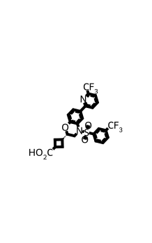 O=C(O)C1CC([C@H]2CN(S(=O)(=O)c3cccc(C(F)(F)F)c3)c3cc(-c4cccc(C(F)(F)F)n4)ccc3O2)C1